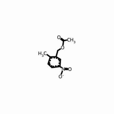 CC(=O)OCc1cc([N+](=O)[O-])ccc1C